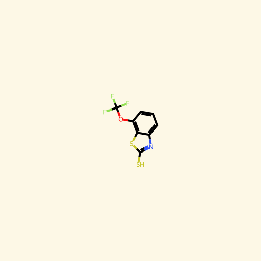 FC(F)(F)Oc1cccc2nc(S)sc12